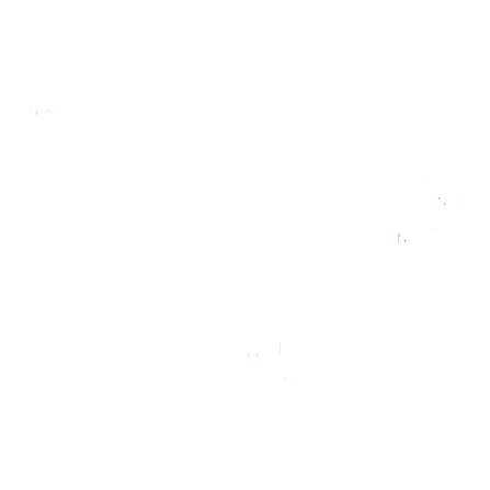 CCCCCCCCCCCCCCCCOCCCOP(=O)(O)CCC=CCn1ccc(=O)[nH]c1=O